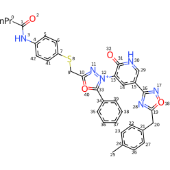 CCCC(=O)Nc1ccc(SCc2n[n+](-c3cc(-c4noc(Cc5ccc(C)cc5)n4)c[nH]c3=O)c(-c3ccccc3)o2)cc1